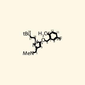 CNCc1cc(OCc2cc(F)ccc2C)n(CCC(C)(C)C)n1